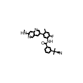 CNc1cc2ncc(-c3cc(NC(=O)c4cccc(C(C)(C)C#N)c4)c(F)cc3C)cc2cn1